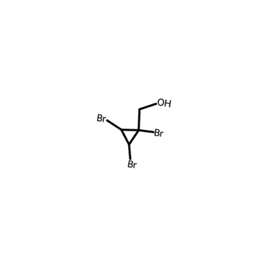 OCC1(Br)C(Br)C1Br